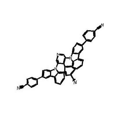 N#Cc1ccc(-c2ccc3c(c2)c2ccccc2n3-c2cncc(-n3c4ccccc4c4cc(-c5ccc(C#N)cc5)ccc43)c2-c2ccc(C#N)cc2)cc1